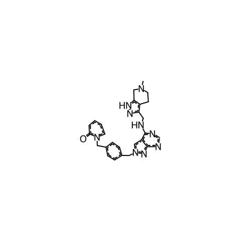 CN1CCc2c(CNc3ncnc4nn(Cc5ccc(Cn6ccccc6=O)cc5)cc34)n[nH]c2C1